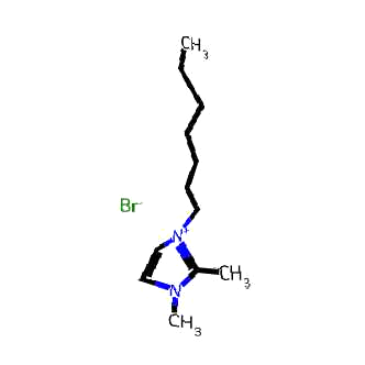 CCCCCCC[n+]1ccn(C)c1C.[Br-]